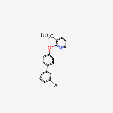 CC(=O)c1cccc(-c2ccc(Oc3ncccc3C(=O)O)cc2)c1